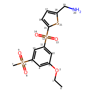 CCOc1cc(S(C)(=O)=O)cc(S(=O)(=O)c2ccc(CN)s2)c1